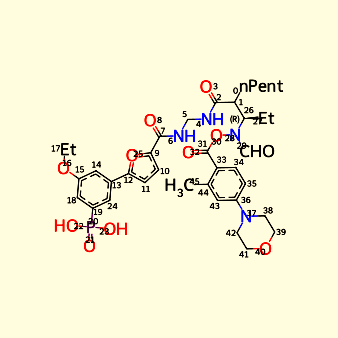 CCCCCC(C(=O)NCNC(=O)c1ccc(-c2cc(OCC)cc(P(=O)(O)O)c2)o1)[C@@H](CC)N(C=O)OC(=O)c1ccc(N2CCOCC2)cc1C